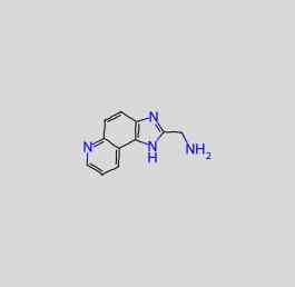 NCc1nc2ccc3ncccc3c2[nH]1